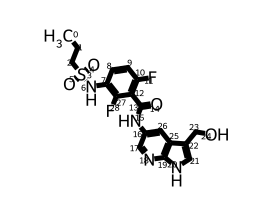 CCCS(=O)(=O)Nc1ccc(F)c(C(=O)Nc2cnc3[nH]cc(CO)c3c2)c1F